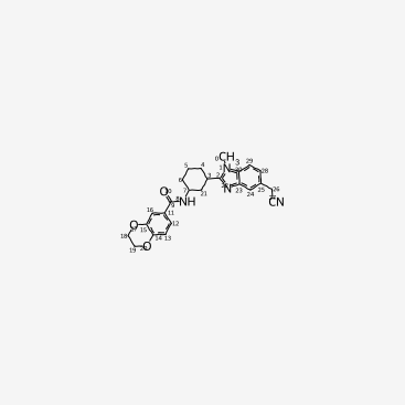 Cn1c(C2CCCC(NC(=O)c3ccc4c(c3)OCCO4)C2)nc2cc(CC#N)ccc21